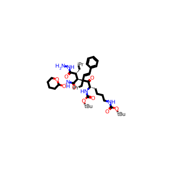 CC(C)C[C@@H](C(=O)NN)[C@H](C(=O)NOC1CCCCO1)C(/C=C/c1ccccc1)(CC(C)C)C(=O)[C@H](CCCCNC(=O)OC(C)(C)C)NC(=O)OC(C)(C)C